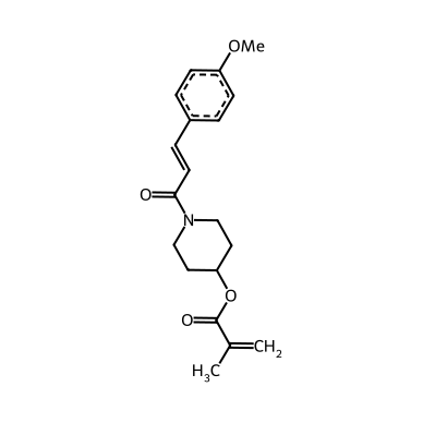 C=C(C)C(=O)OC1CCN(C(=O)/C=C/c2ccc(OC)cc2)CC1